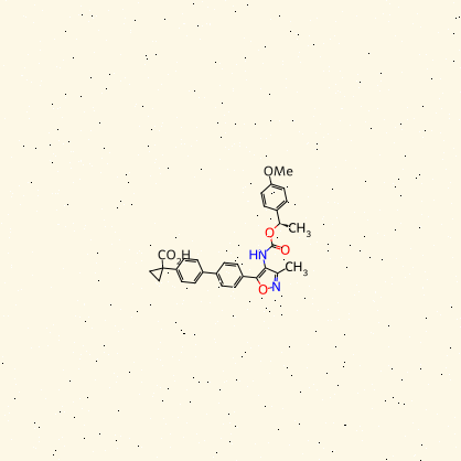 COc1ccc([C@@H](C)OC(=O)Nc2c(C)noc2-c2ccc(-c3ccc(C4(C(=O)O)CC4)cc3)cc2)cc1